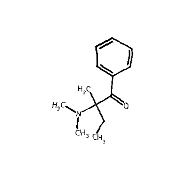 CCC(C)(C(=O)c1ccccc1)N(C)C